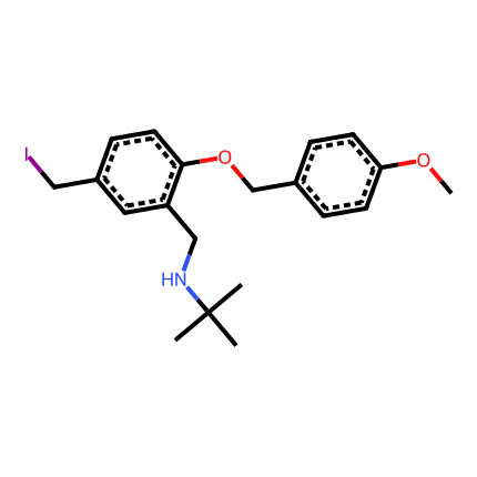 COc1ccc(COc2ccc(CI)cc2CNC(C)(C)C)cc1